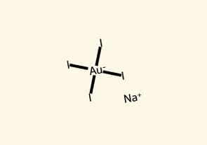 [I][Au-]([I])([I])[I].[Na+]